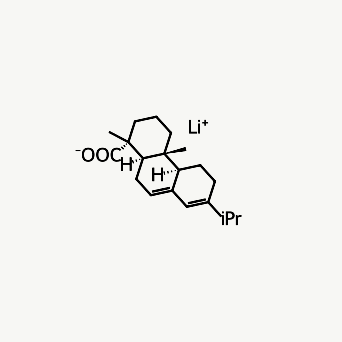 CC(C)C1=CC2=CC[C@@H]3[C@](C)(CCC[C@@]3(C)C(=O)[O-])[C@H]2CC1.[Li+]